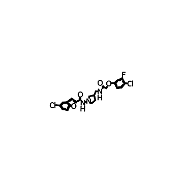 O=C(COc1ccc(Cl)c(F)c1)NCC1CCN(NC(=O)c2cc3cc(Cl)ccc3o2)C1